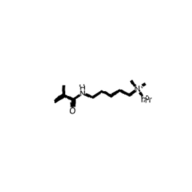 C=C(C)C(=O)NCCCCC[N+](C)(C)CCC